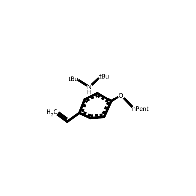 C=Cc1ccc(OCCCCC)cc1.CC(C)(C)NC(C)(C)C